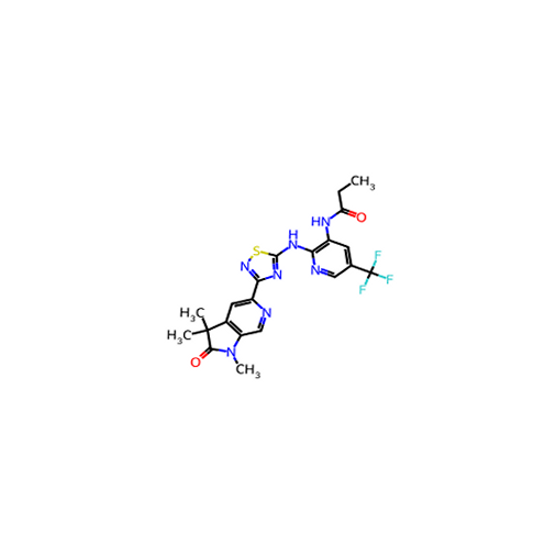 CCC(=O)Nc1cc(C(F)(F)F)cnc1Nc1nc(-c2cc3c(cn2)N(C)C(=O)C3(C)C)ns1